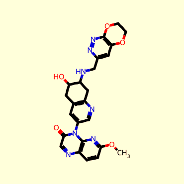 COc1ccc2ncc(=O)n(-c3cnc4c(c3)CC(O)C(NCc3cc5c(nn3)OCCO5)C4)c2n1